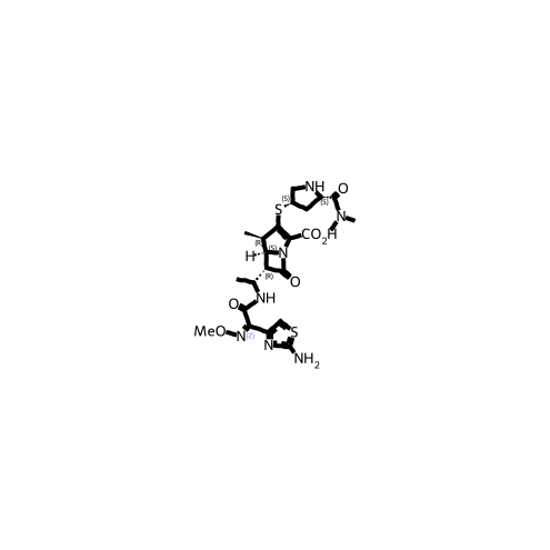 CO/N=C(\C(=O)NC(C)[C@H]1C(=O)N2C(C(=O)O)=C(S[C@@H]3CN[C@H](C(=O)N(C)C)C3)[C@H](C)[C@H]12)c1csc(N)n1